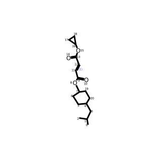 CC(C)CC1CCC(OC(=O)/C=C/C(=O)OC2CC2)CC1